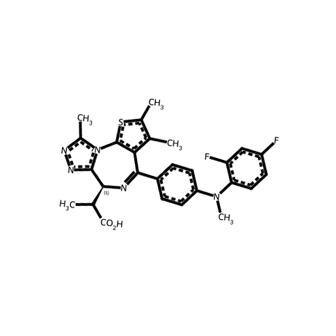 Cc1sc2c(c1C)C(c1ccc(N(C)c3ccc(F)cc3F)cc1)=N[C@@H](C(C)C(=O)O)c1nnc(C)n1-2